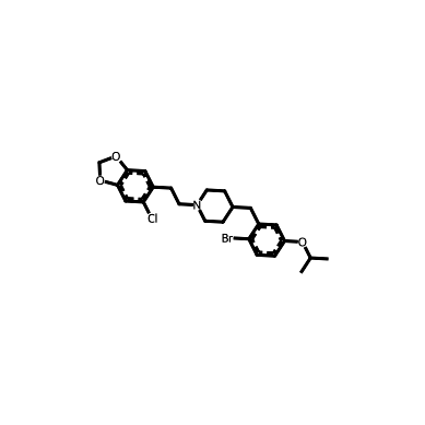 CC(C)Oc1ccc(Br)c(CC2CCN(CCc3cc4c(cc3Cl)OCO4)CC2)c1